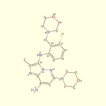 Cc1nc2c(N)cc(N3CCOCC3)nn2c1Nc1cccc(F)c1CN1CCOCC1